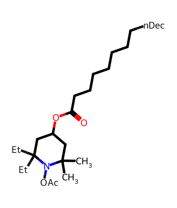 CCCCCCCCCCCCCCCCCC(=O)OC1CC(C)(C)N(OC(C)=O)C(CC)(CC)C1